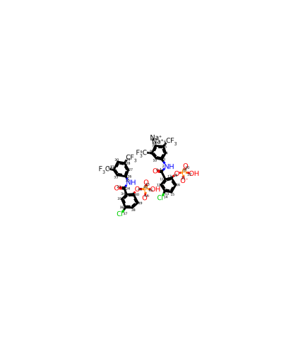 O=C(Nc1cc(C(F)(F)F)cc(C(F)(F)F)c1)c1cc(Cl)ccc1OP(=O)([O-])O.O=C(Nc1cc(C(F)(F)F)cc(C(F)(F)F)c1)c1cc(Cl)ccc1OP(=O)([O-])O.[Na+].[Na+]